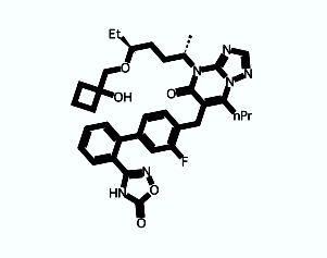 CCCc1c(Cc2ccc(-c3ccccc3-c3noc(=O)[nH]3)cc2F)c(=O)n([C@@H](C)CC[C@H](CC)OCC2(O)CCC2)c2ncnn12